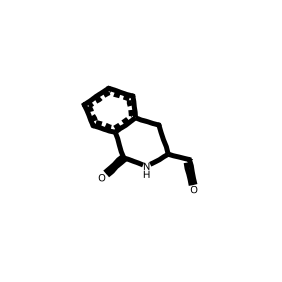 O=[C]C1Cc2ccccc2C(=O)N1